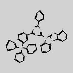 c1ccc(-c2nc(-c3cccc([Si](c4ccccc4)(c4ccccc4)c4ccccc4)c3)nc(-n3c4ccccc4n4c5ccccc5nc34)n2)cc1